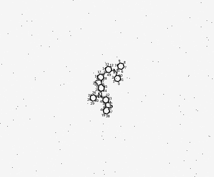 c1ccc(N(c2ccccc2)c2cccc(-c3ccc4sc5cc(N(c6ccccc6)c6ccc7sc8ccccc8c7c6)ccc5c4c3)c2)cc1